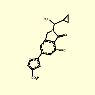 CC(C1CC1)N1Cc2cc(-c3cc(C(=O)O)no3)cc(Cl)c2C1=O